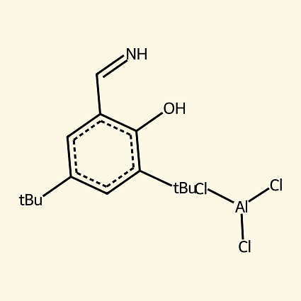 CC(C)(C)c1cc(C=N)c(O)c(C(C)(C)C)c1.[Cl][Al]([Cl])[Cl]